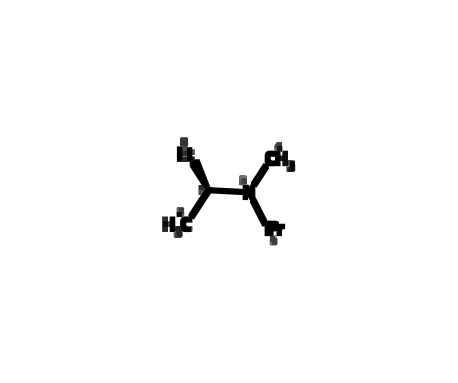 CC[C@H](C)N(C)C(C)C